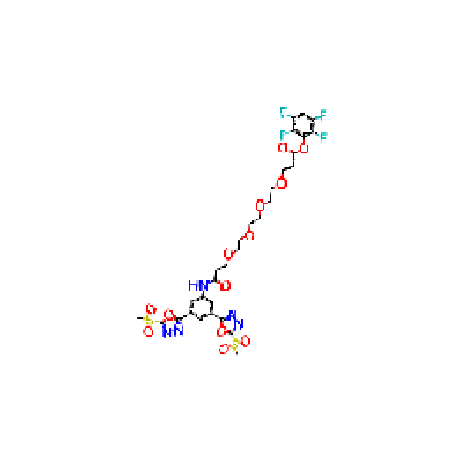 CS(=O)(=O)c1nnc(-c2cc(NC(=O)CCOCCOCCOCCOCCC(=O)Oc3c(F)c(F)cc(F)c3F)cc(-c3nnc(S(C)(=O)=O)o3)c2)o1